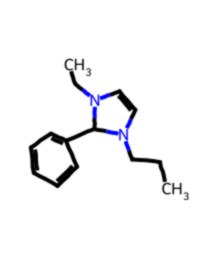 CCCN1C=CN(CC)C1c1ccccc1